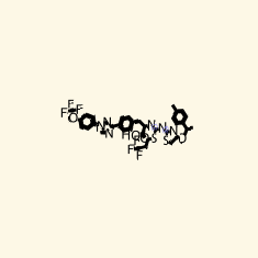 Cc1ccc(C(C)C)c(N2C(=O)CS/C2=N\C(=N\C(Cc2ccc(-c3ncn(-c4ccc(OC(F)(F)F)cc4)n3)cc2)C(=O)O)SCCC(F)(F)F)c1